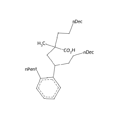 CCCCCCCCCCCCC(CC(C)(CCCCCCCCCCCC)C(=O)O)c1ccccc1CCCCC